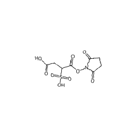 O=C(O)CC(C(=O)ON1C(=O)CCC1=O)S(=O)(=O)O